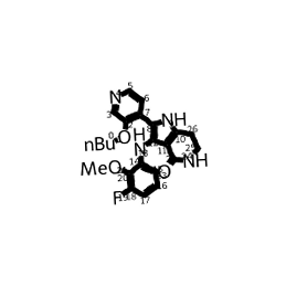 CCCCOc1cnccc1-c1[nH]c2c(c1Nc1cccc(F)c1OC)C(=O)NCC2